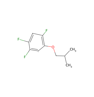 CC(C)COc1[c]c(F)c(F)cc1F